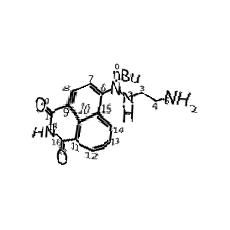 CCCCN(NCCN)c1ccc2c3c(cccc13)C(=O)NC2=O